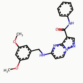 COc1cc(CNc2ccn3ncc(C(=O)Nc4ccccc4)c3n2)cc(OC)c1